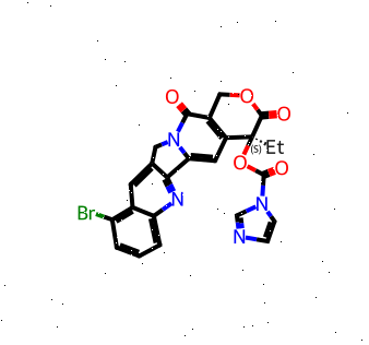 CC[C@@]1(OC(=O)n2ccnc2)C(=O)OCc2c1cc1n(c2=O)Cc2cc3c(Br)cccc3nc2-1